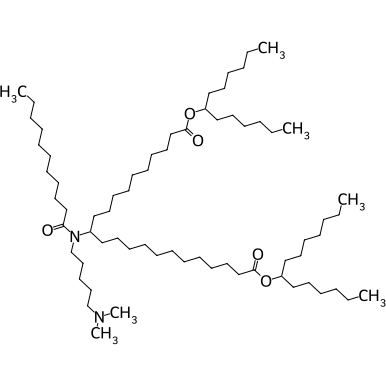 CCCCCCCCCCC(=O)N(CCCCCN(C)C)C(CCCCCCCCCCCC(=O)OC(CCCCCC)CCCCCCC)CCCCCCCCCC(=O)OC(CCCCCC)CCCCCC